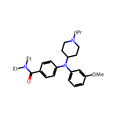 CCCN1CCC(N(c2ccc(C(=O)N(CC)CC)cc2)c2cccc(OC)c2)CC1